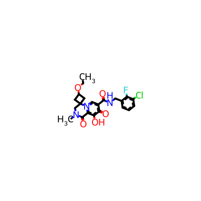 CCOC1CC2(C1)CN(C)C(=O)c1c(O)c(=O)c(C(=O)NCc3cccc(Cl)c3F)cn12